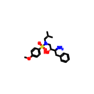 COc1ccc(S(=O)(=O)N(CC(C)C)C[C@@H](O)[C@@H](N)Cc2ccccc2)cc1